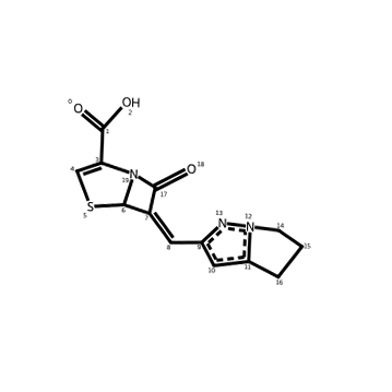 O=C(O)C1=CSC2C(=Cc3cc4n(n3)CCC4)C(=O)N12